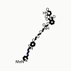 CNc1ccc(/C=C/C=C/c2nc3ccc(OCCOCCOCCNC(=O)COc4cccc5c4C(=O)N(C4CCC(=O)NC4=O)C5=O)cc3s2)cn1